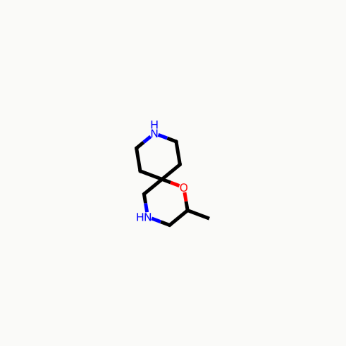 CC1CNCC2(CCNCC2)O1